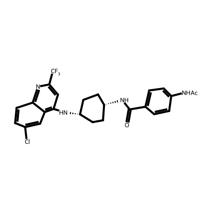 CC(=O)Nc1ccc(C(=O)N[C@H]2CC[C@@H](Nc3cc(C(F)(F)F)nc4ccc(Cl)cc34)CC2)cc1